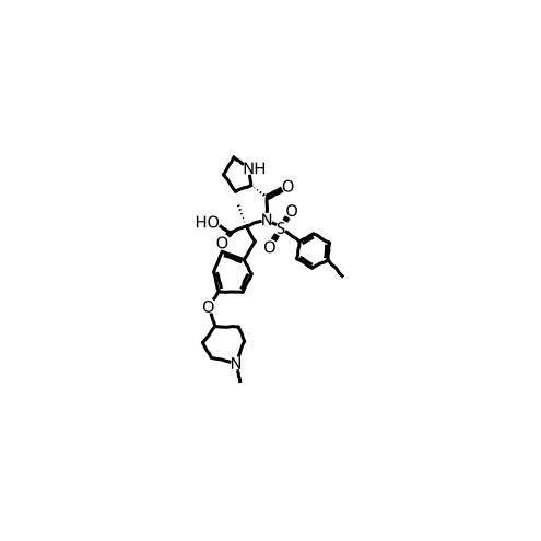 Cc1ccc(S(=O)(=O)N(C(=O)[C@@H]2CCCN2)[C@@](C)(Cc2ccc(OC3CCN(C)CC3)cc2)C(=O)O)cc1